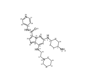 NC1CCC(Nc2cc(NCCN3CCCCC3)c3ncc(C(=O)Nc4ccncc4)n3n2)CC1